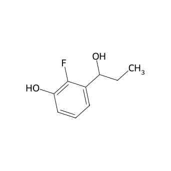 CCC(O)c1cccc(O)c1F